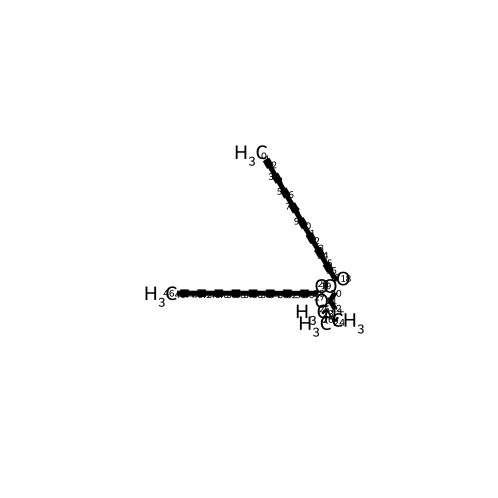 CC#CC#CC#CC#CC#CC#CC#CC#CC(=O)OCC(C[N+](C)(C)C)OC(=O)C#CC#CC#CC#CC#CC#CC#CC#CC